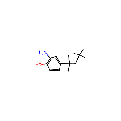 CC(C)(C)CC(C)(C)c1ccc(O)c(N)c1